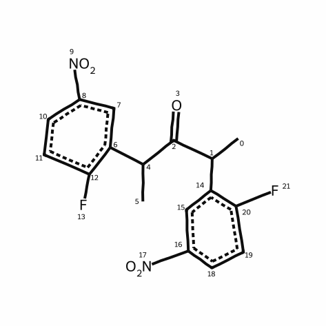 CC(C(=O)C(C)c1cc([N+](=O)[O-])ccc1F)c1cc([N+](=O)[O-])ccc1F